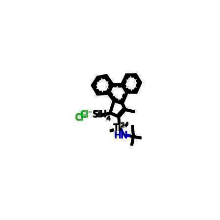 CC1=[C]([Ti+2]([CH3])([CH3])[NH]C(C)(C)C)C(C)c2c1c1ccccc1c1ccccc21.[Cl-].[Cl-].[SiH4]